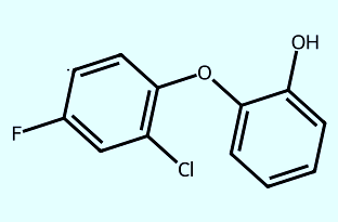 Oc1ccccc1Oc1c[c]c(F)cc1Cl